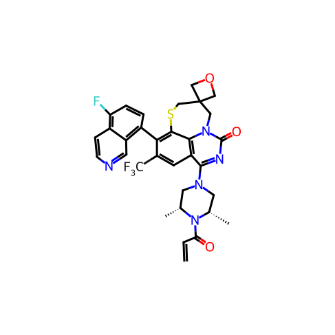 C=CC(=O)N1[C@H](C)CN(c2nc(=O)n3c4c(c(-c5ccc(F)c6ccncc56)c(C(F)(F)F)cc24)SCC2(COC2)C3)C[C@@H]1C